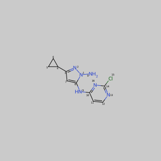 Nn1nc(C2CC2)cc1Nc1ccnc(Cl)n1